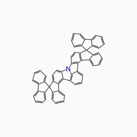 c1ccc2c(c1)-c1ccccc1C21c2ccccc2-c2c1ccc1c2c2cccc3c4c5c(ccc4n1c23)C1(c2ccccc2-c2ccccc21)c1ccccc1-5